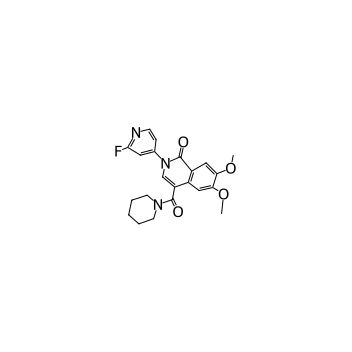 COc1cc2c(C(=O)N3CCCCC3)cn(-c3ccnc(F)c3)c(=O)c2cc1OC